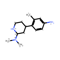 Cc1cc(N)ccc1C1CCNC(N(C)C)C1